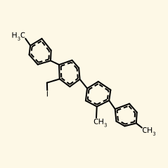 Cc1ccc(-c2ccc(-c3ccc(-c4ccc(C)cc4)c(CI)c3)cc2C)cc1